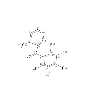 Cc1ccccc1C(=O)c1c(F)c(F)c(F)c(F)c1F